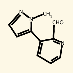 Cn1nccc1-c1cccnc1C=O